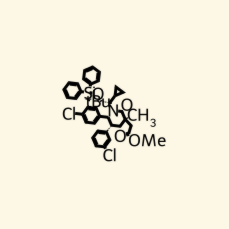 COC(=O)C[C@@]1(C)C[C@H](c2cccc(Cl)c2)C(c2ccc(Cl)cc2)N([C@H](CO[Si](c2ccccc2)(c2ccccc2)C(C)(C)C)C2CC2)C1=O